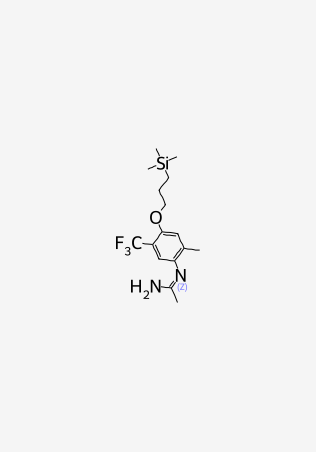 C/C(N)=N/c1cc(C(F)(F)F)c(OCCC[Si](C)(C)C)cc1C